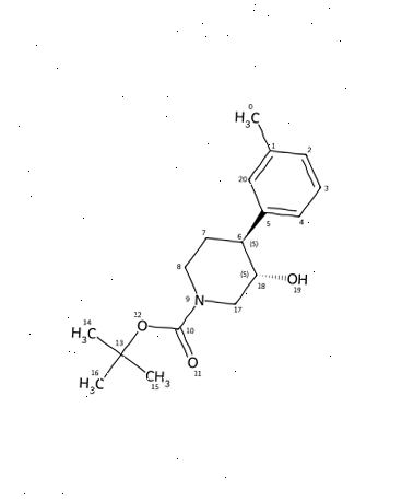 Cc1cccc([C@@H]2CCN(C(=O)OC(C)(C)C)C[C@H]2O)c1